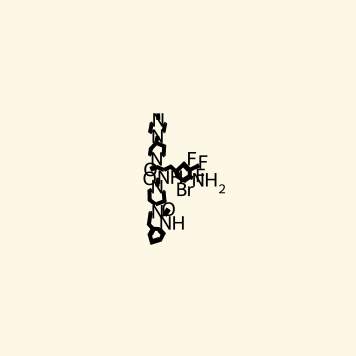 CN1CCN(C2CCN(C(=O)C(Cc3cc(Br)c(N)c(C(F)(F)F)c3)NC(=O)N3CCC(N4CCc5ccccc5NC4=O)CC3)CC2)CC1